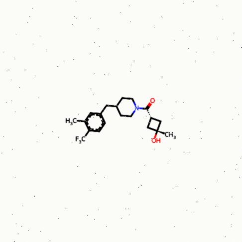 Cc1cc(CC2CCN(C(=O)[C@H]3C[C@@](C)(O)C3)CC2)ccc1C(F)(F)F